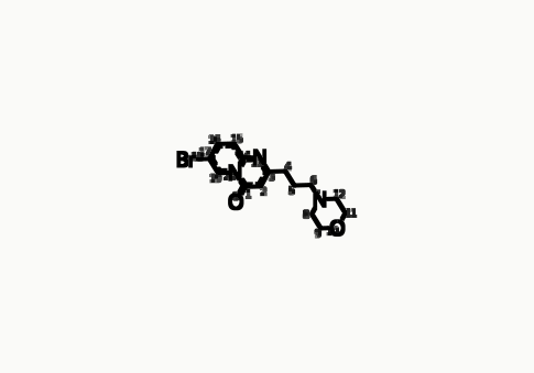 O=c1cc(CCCN2CCOCC2)nc2ccc(Br)cn12